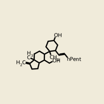 C=C1CCC2C(CO)C(C3(C)CCC(O)CC3C=CCCCCC)CCC12C